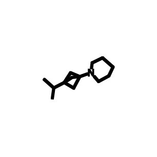 CC(C)C12CC(N3CCCCC3)(C1)C2